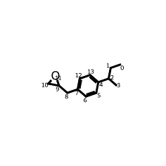 CCC(C)c1ccc(CC2CO2)cc1